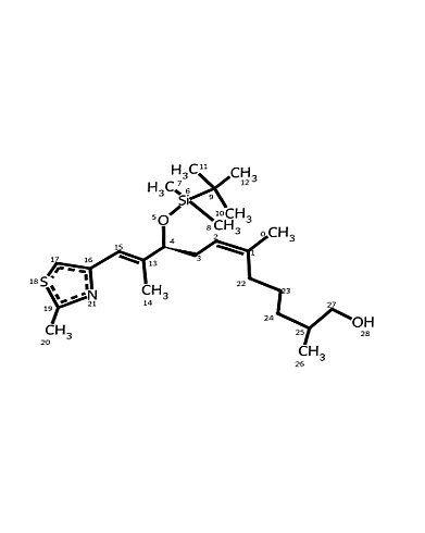 CC(=CC[C@H](O[Si](C)(C)C(C)(C)C)/C(C)=C/c1csc(C)n1)CCCC(C)CO